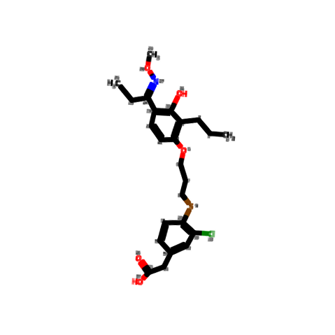 CCCc1c(OCCCSc2ccc(CC(=O)O)cc2Cl)ccc(/C(CC)=N/OC)c1O